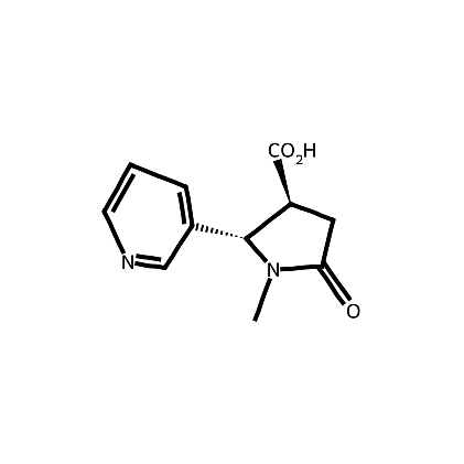 CN1C(=O)C[C@H](C(=O)O)[C@H]1c1cccnc1